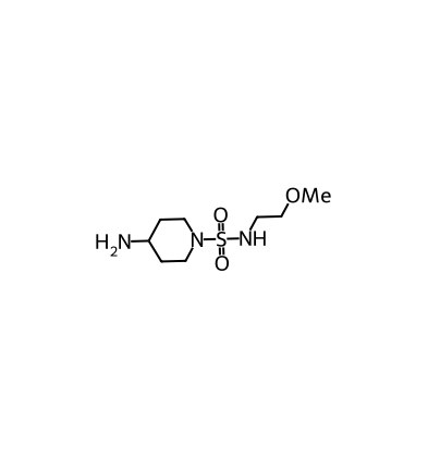 COCCNS(=O)(=O)N1CCC(N)CC1